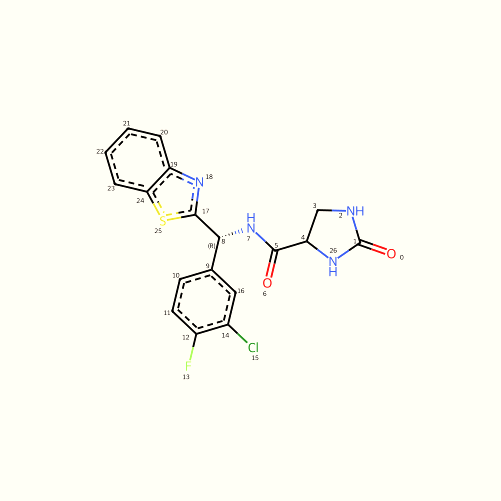 O=C1NCC(C(=O)N[C@H](c2ccc(F)c(Cl)c2)c2nc3ccccc3s2)N1